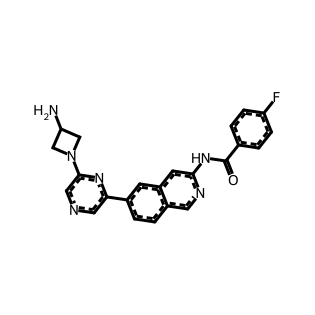 NC1CN(c2cncc(-c3ccc4cnc(NC(=O)c5ccc(F)cc5)cc4c3)n2)C1